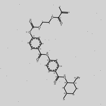 C=C(C)C(=O)OCCOC(=O)Oc1ccc(C(=O)Oc2ccc(C(=O)OC3CC(C)CCC3C(C)C)cc2)cc1